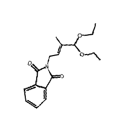 CCOC(OCC)/C(C)=C/CN1C(=O)c2ccccc2C1=O